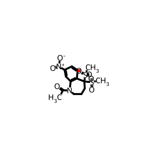 CC(=O)N1CCCC(S(C)(=O)=O)(S(C)(=O)=O)c2ccc([N+](=O)[O-])cc21